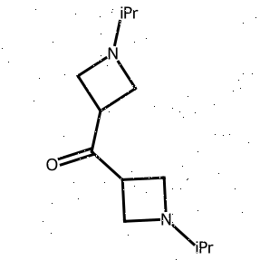 CC(C)N1CC(C(=O)C2CN(C(C)C)C2)C1